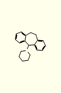 c1ccc2c(c1)CCc1ccccc1C2N1CCCCC1